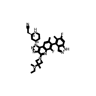 CCN(C)C1(C)CN(c2nc3c(F)c(-c4c(C)c(F)cc5[nH]ncc45)c(C)cc3c3c2nnn3[C@H]2CCN[C@H](CC#N)C2)C1